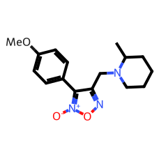 COc1ccc(-c2c(CN3CCCCC3C)no[n+]2[O-])cc1